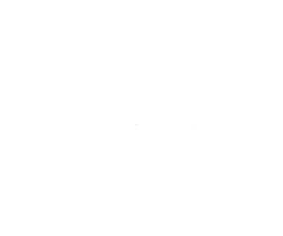 CC=CC(=O)OS(C)(=O)=O